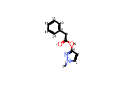 Cn1ccc(OC(=O)Cc2ccccc2)n1